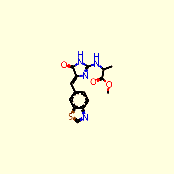 COC(=O)C(C)NC1=N/C(=C\c2ccc3ncsc3c2)C(=O)N1